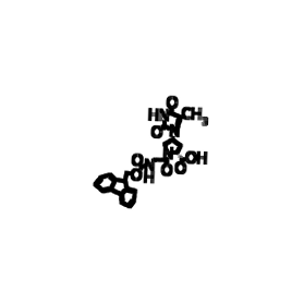 Cc1cn([C@@H]2C[C@H](C(=O)O)N(C(=O)CNC(=O)OCC3c4ccccc4-c4ccccc43)C2)c(=O)[nH]c1=O